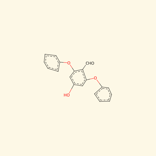 O=Cc1c(Oc2ccccc2)cc(O)cc1Oc1ccccc1